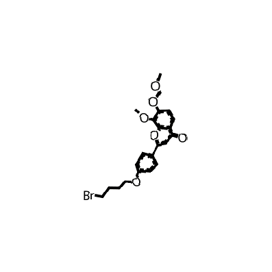 COCOc1ccc2c(=O)cc(-c3ccc(OCCCCBr)cc3)oc2c1OC